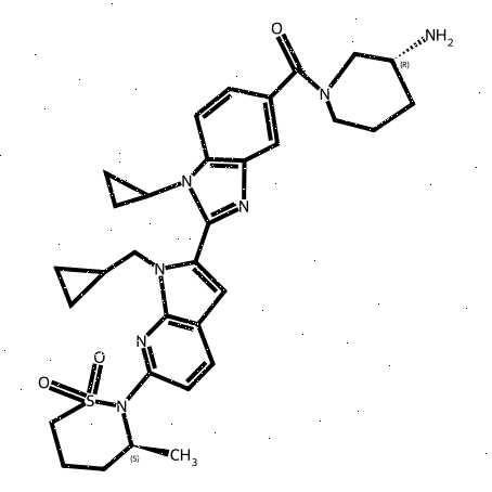 C[C@H]1CCCS(=O)(=O)N1c1ccc2cc(-c3nc4cc(C(=O)N5CCC[C@@H](N)C5)ccc4n3C3CC3)n(CC3CC3)c2n1